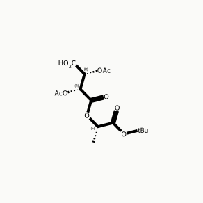 CC(=O)O[C@@H](C(=O)O)[C@@H](OC(C)=O)C(=O)O[C@@H](C)C(=O)OC(C)(C)C